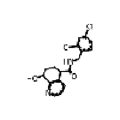 O=C(NCc1ccc(Cl)cc1Cl)C1CCC(O)c2ncccc21